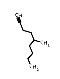 C#CCCC(C)CCC[CH2]